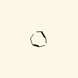 [C]1=COCC=CS1